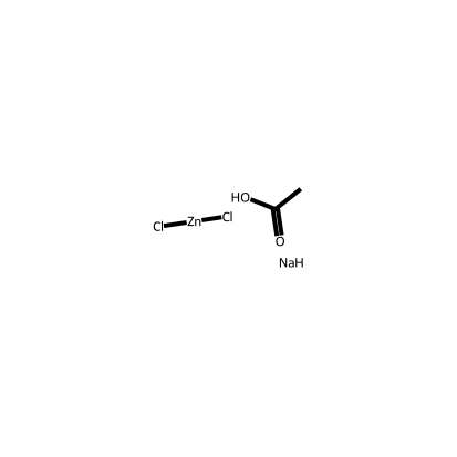 CC(=O)O.[Cl][Zn][Cl].[NaH]